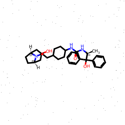 C[C@H](NC(=O)NC1CCC(CCN2[C@@H]3CC[C@H]2CC(O)C3)CC1)C(O)(c1ccccc1)c1ccccc1